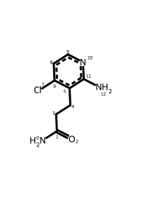 NC(=O)CCc1c(Cl)ccnc1N